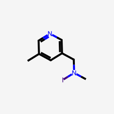 Cc1cncc(CN(C)I)c1